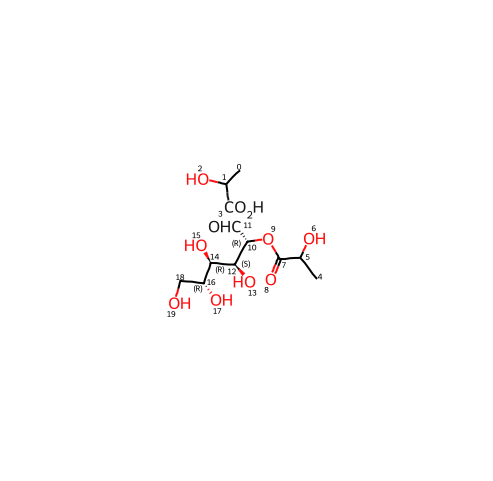 CC(O)C(=O)O.CC(O)C(=O)O[C@@H](C=O)[C@@H](O)[C@H](O)[C@H](O)CO